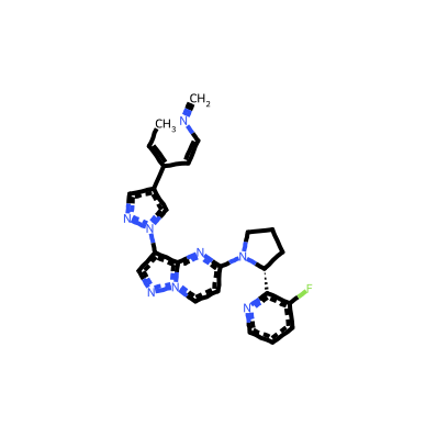 C=N/C=C\C(=C/C)c1cnn(-c2cnn3ccc(N4CCC[C@@H]4c4ncccc4F)nc23)c1